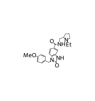 CCN1CCCC1CNC(=O)c1ccc2c(c1)[nH]c(=O)n2Cc1ccc(OC)cc1